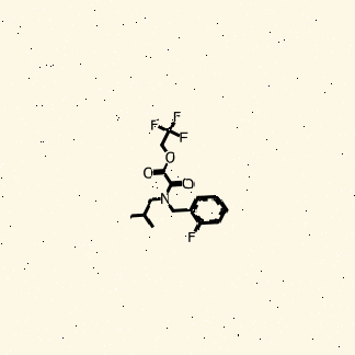 CC(C)CN(Cc1ccccc1F)C(=O)C(=O)OCC(F)(F)F